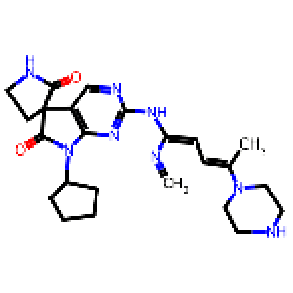 C=N/C(=C\C=C(/C)N1CCNCC1)Nc1ncc2c(n1)N(C1CCCC1)C(=O)C21CCNC1=O